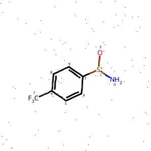 N[S+]([O-])c1ccc(C(F)(F)F)cc1